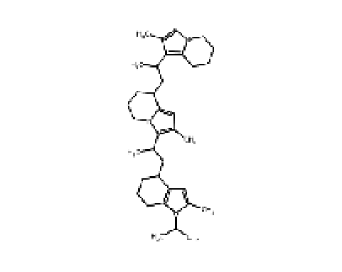 Cc1cn2c(c1C(C)CC1CCCn3c1cc(C)c3C(C)CC1CCCc3c1cc(C)n3C(C)C)CCCC2